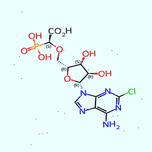 Nc1nc(Cl)nc2c1ncn2[C@@H]1O[C@H](CO[C@H](C(=O)O)P(=O)(O)O)[C@@H](O)[C@H]1O